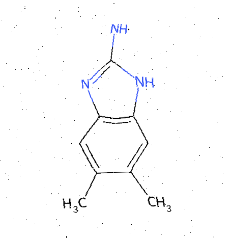 Cc1cc2nc([NH])[nH]c2cc1C